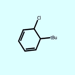 CC(C)(C)C1C=CC=C[C]1Cl